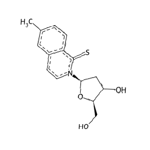 Cc1ccc2c(=S)n([C@H]3CC(O)[C@@H](CO)O3)ccc2c1